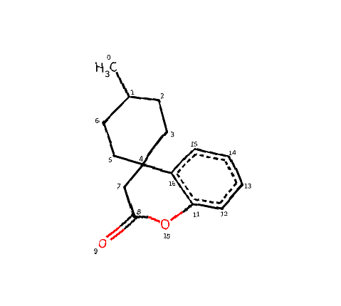 CC1CCC2(CC1)CC(=O)Oc1ccccc12